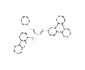 CC1=C(/C=C(\C)c2ccc3c4ccccc4c4ccccc4c3c2)C(C)(C)c2c(ccc3c2oc2ccccc23)N1c1ccccc1